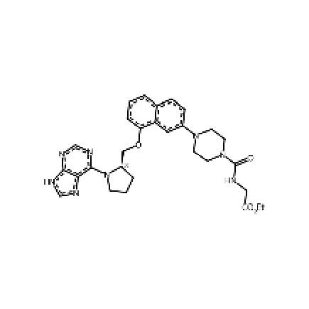 CCOC(=O)CNC(=O)N1CCN(c2ccc3cccc(OC[C@H]4CCCN4c4ncnc5[nH]cnc45)c3c2)CC1